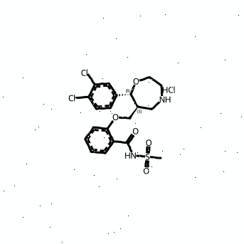 CS(=O)(=O)NC(=O)c1ccccc1OC[C@@H]1CNCCO[C@H]1c1ccc(Cl)c(Cl)c1.Cl